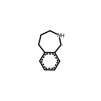 [C]1NCCCc2ccccc21